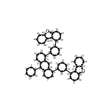 c1ccc(-c2c3cccc(-c4cccc(-c5cccc6oc7ccccc7c56)c4)c3cc3c(-c4cccc(-c5cccc6oc7ccccc7c56)c4)cccc23)cc1